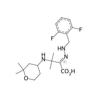 CC1(C)CC(NC(C)(C)/C(=N\NCc2c(F)cccc2F)C(=O)O)CCO1